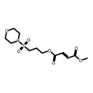 COC(=O)/C=C/C(=O)OCCCS(=O)(=O)N1CCOCC1